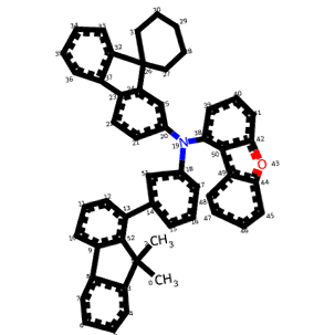 CC1(C)c2ccccc2-c2cccc(-c3cccc(N(c4ccc5c(c4)C4(CCCCC4)c4ccccc4-5)c4cccc5oc6ccccc6c45)c3)c21